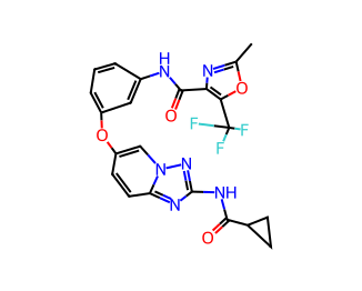 Cc1nc(C(=O)Nc2cccc(Oc3ccc4nc(NC(=O)C5CC5)nn4c3)c2)c(C(F)(F)F)o1